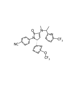 CC(c1cccc(C(F)(F)F)n1)N(C)C1=C[C@H](c2cccc(OC(F)(F)F)c2)N(c2ccc(C#N)cc2)C1=O